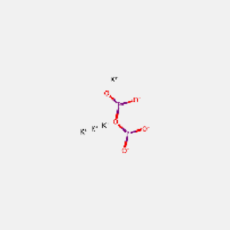 [K+].[K+].[K+].[K+].[O-]P([O-])OP([O-])[O-]